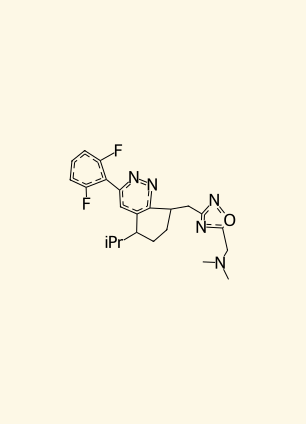 CC(C)C1CCC(Cc2noc(CN(C)C)n2)c2nnc(-c3c(F)cccc3F)cc21